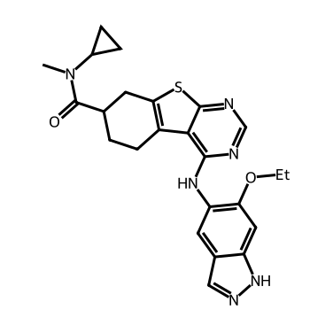 CCOc1cc2[nH]ncc2cc1Nc1ncnc2sc3c(c12)CCC(C(=O)N(C)C1CC1)C3